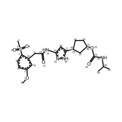 COc1ccc(S(C)(=O)=O)c(CC(=O)Nc2cc([C@H]3CC[C@@H](OC(=O)NC(C)C)C3)[nH]n2)c1